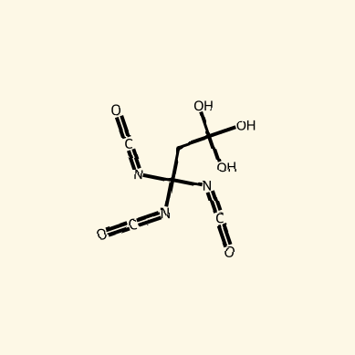 O=C=NC(CC(O)(O)O)(N=C=O)N=C=O